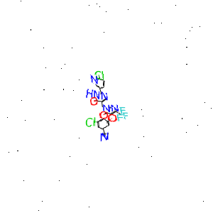 N#CC1C=C(Oc2c(C(F)(F)F)ncn(Cc3cnc(-c4ccc(Cl)nc4)[nH]c3=O)c2=O)C=C(Cl)C1